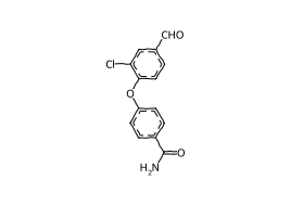 NC(=O)c1ccc(Oc2ccc(C=O)cc2Cl)cc1